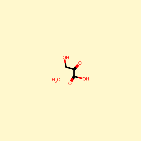 O.O=C(O)C(=O)CO